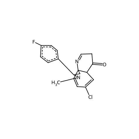 CN1C2=CC(Cl)=CC3C(=O)CC=NC23CC1c1ccc(F)cc1